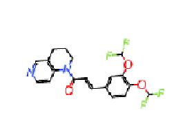 O=C(/C=C/c1ccc(OC(F)F)c(OC(F)F)c1)N1CCCc2cnccc21